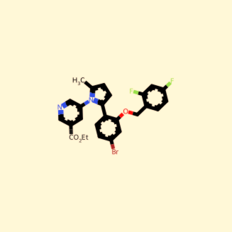 CCOC(=O)c1cncc(-n2c(C)ccc2-c2ccc(Br)cc2OCc2ccc(F)cc2F)c1